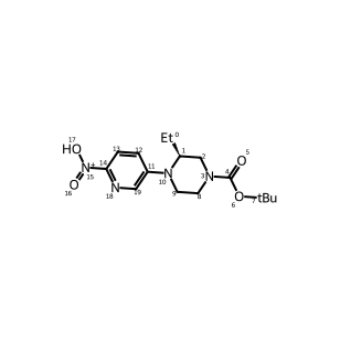 CC[C@H]1CN(C(=O)OC(C)(C)C)CCN1c1ccc([N+](=O)O)nc1